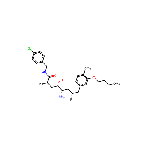 COCCCOc1cc(C[C@@H](C[C@H](N)[C@@H](O)C[C@H](C(=O)NCc2ccc(Cl)cc2)C(C)C)C(C)C)ccc1OC